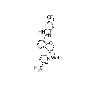 COCC1COc2c(-c3nc4ccc(C(F)(F)F)cc4[nH]3)cccc2N1c1ccc(C)cn1